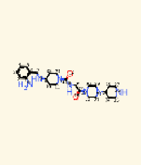 Nc1ccccc1CNC1CCN(C(=O)NCC(=O)N2CCN(C3CCNCC3)CC2)CC1